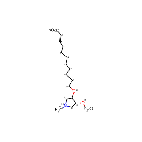 CCCCCCCCC=CCCCCCCCCOC1CN(C)C[C@H]1OCCCCCCCC